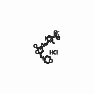 Cl.Cn1c([N+](=O)[O-])cnc1C=NN1CC(CN2CCOCC2)OC1=O